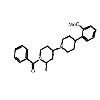 COc1ccccc1C1CCN(C2CCN(C(=O)c3ccccc3)C(C)C2)CC1